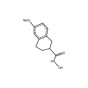 COc1ccc2c(c1)CCC(C(=O)NO)C2